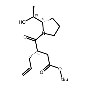 C=CC[C@@H](CC(=O)OC(C)(C)C)C(=O)N1CCC[C@H]1[C@H](C)O